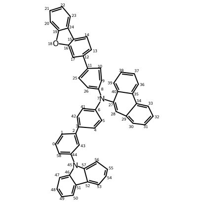 c1cc(-c2ccc(N(c3ccc(-c4ccc5c(c4)oc4ccccc45)cc3)c3cc4ccccc4c4ccccc34)cc2)cc(-n2c3ccccc3c3ccccc32)c1